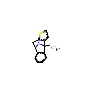 CC12NC(Cc3sccc31)c1ccccc12.[Cl-].[H+]